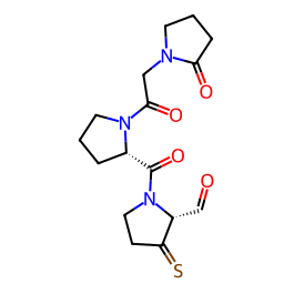 O=C[C@@H]1C(=S)CCN1C(=O)[C@@H]1CCCN1C(=O)CN1CCCC1=O